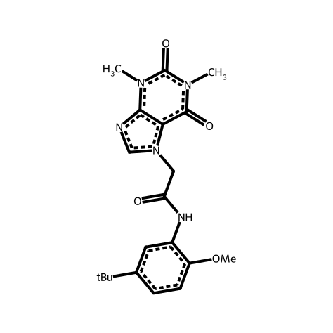 COc1ccc(C(C)(C)C)cc1NC(=O)Cn1cnc2c1c(=O)n(C)c(=O)n2C